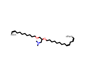 CCCCC/C=C\C/C=C\CCCCCCCCOC(COCCCCCCCC/C=C\CCCCCCCC)CN(C)C